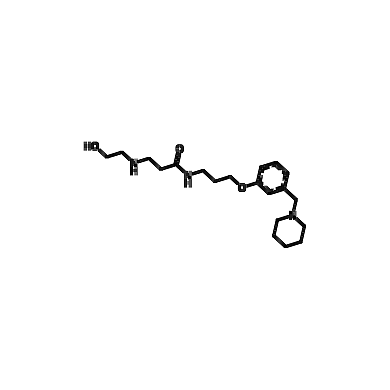 O=C(CCNCCO)NCCCOc1cccc(CN2CCCCC2)c1